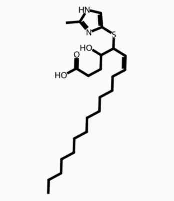 CCCCCCCCCCCC/C=C\C(Sc1c[nH]c(C)n1)C(O)CCC(=O)O